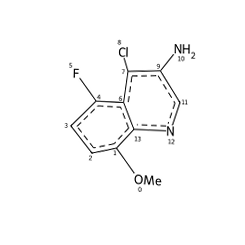 COc1ccc(F)c2c(Cl)c(N)cnc12